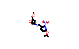 COCC12CC(/N=C/c3ccc(OC(C)C)nc3[N+](=O)[O-])(CO1)C2